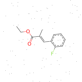 CCOC(=O)/C(C)=C/c1ccccc1F